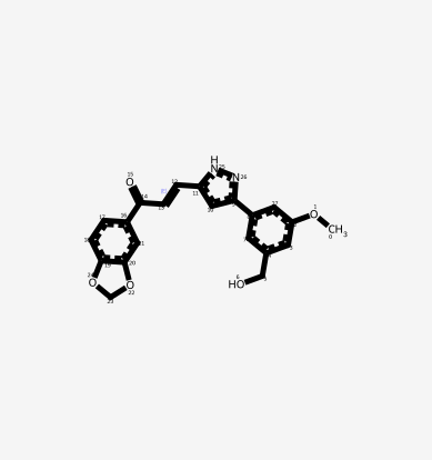 COc1cc(CO)cc(-c2cc(/C=C/C(=O)c3ccc4c(c3)OCO4)[nH]n2)c1